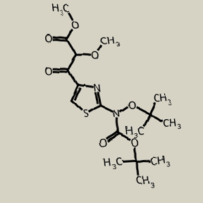 COC(=O)C(OC)C(=O)c1csc(N(OC(C)(C)C)C(=O)OC(C)(C)C)n1